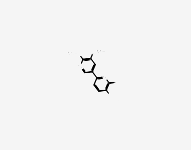 COc1cc(-c2ccc(C(=O)O)c(Cl)n2)cnc1OC